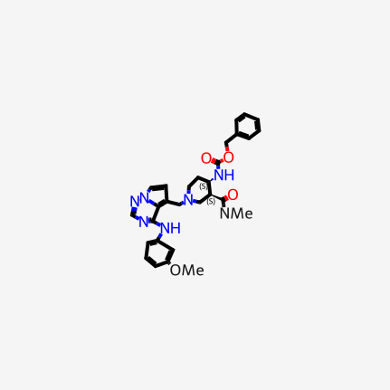 CNC(=O)[C@H]1CN(Cc2ccn3ncnc(Nc4cccc(OC)c4)c23)CC[C@@H]1NC(=O)OCc1ccccc1